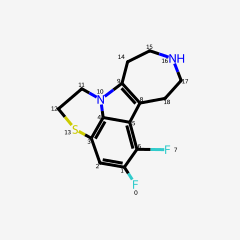 Fc1cc2c3c(c1F)c1c(n3CCS2)CCNCC1